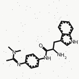 CC(=Nc1ccc(NC(=O)C(N)Cc2c[nH]c3ccccc23)cc1)N(C)C